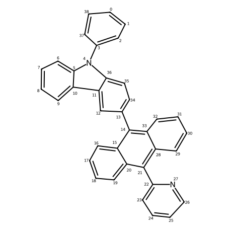 c1ccc(-n2c3ccccc3c3cc(-c4c5ccccc5c(-c5ccccn5)c5ccccc45)ccc32)cc1